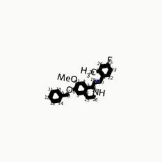 COc1cc2c(cc1OCc1ccccc1)CCNC2/C=C/c1ccc(F)cc1C